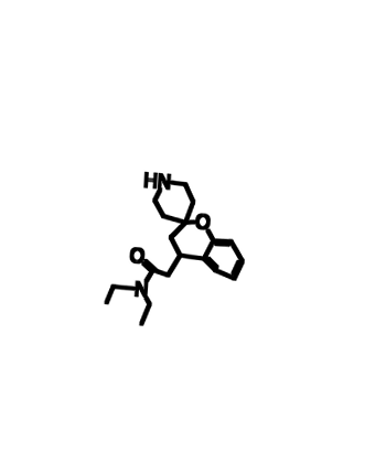 CCN(CC)C(=O)CC1CC2(CCNCC2)Oc2ccccc21